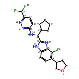 Fc1c(C2[CH]COC2)ccc2[nH]c([C@@H](Nc3ccc(C(F)F)nn3)C3CCCC3)nc12